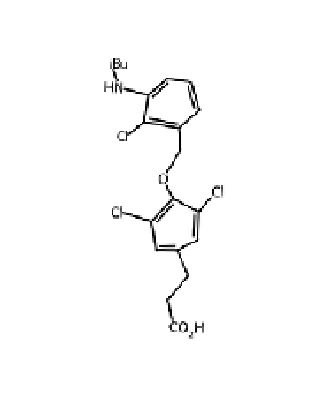 CCC(C)Nc1cccc(COc2c(Cl)cc(CCC(=O)O)cc2Cl)c1Cl